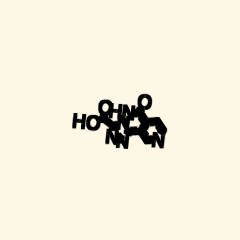 O=C(O)c1nnc2c3cnccc3c(=O)[nH]n12